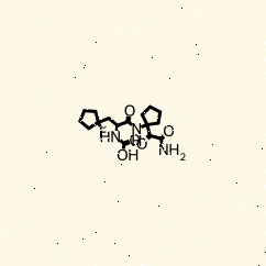 NC(=O)C(=O)C1(NC(=O)C(CC2(F)CCCC2)NC(=O)O)CCCC1